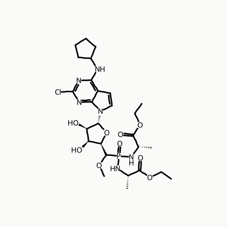 CCOC(=O)[C@H](C)NP(=O)(N[C@@H](C)C(=O)OCC)C(OC)[C@@H]1O[C@@H](n2ccc3c(NC4CCCC4)nc(Cl)nc32)[C@H](O)[C@@H]1O